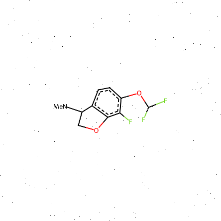 CNC1COc2c1ccc(OC(F)F)c2F